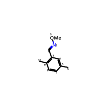 CO/N=C/c1cc(C)ccc1C